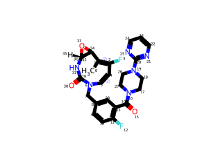 C/C1=C(F)\C=C/N(Cc2ccc(F)c(C(=O)N3CCN(c4ncccn4)CC3)c2)C(=O)N[C@@H]2OC12